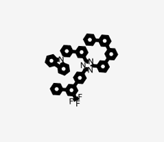 FC(F)(F)c1cc(-c2ccccc2)cc(-c2ccc(-c3nc(-c4cccc(-c5cccc(-c6cccc(-c7ccccc7)c6)c5)c4)nc(-c4cccc(-c5cccc(-n6c7ccccc7c7ccccc76)c5)c4)n3)cc2)c1